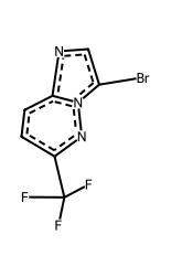 FC(F)(F)c1ccc2ncc(Br)n2n1